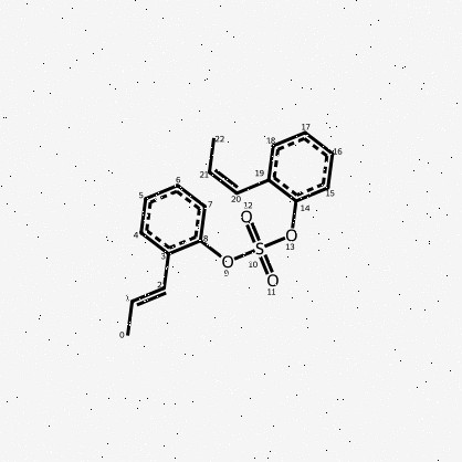 CC=Cc1ccccc1OS(=O)(=O)Oc1ccccc1C=CC